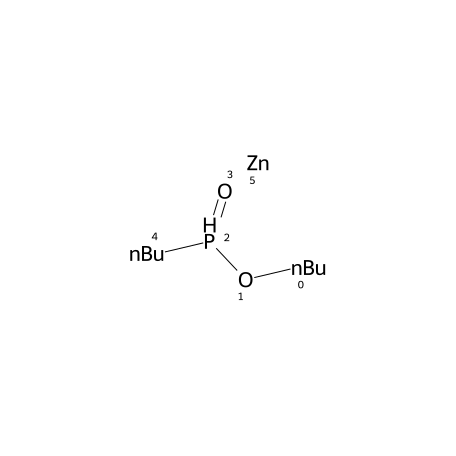 CCCCO[PH](=O)CCCC.[Zn]